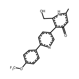 Cc1cc(=O)c(-c2ccc(-c3ccc(OC(F)(F)F)cc3)nc2)c(CO)[nH]1